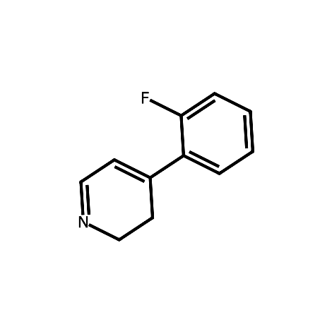 Fc1ccccc1C1=CC=NCC1